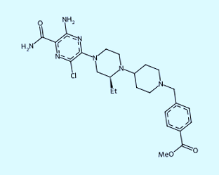 CC[C@H]1CN(c2nc(N)c(C(N)=O)nc2Cl)CCN1C1CCN(Cc2ccc(C(=O)OC)cc2)CC1